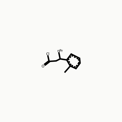 CCCC(CC(=O)Cl)c1ccccc1C